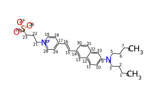 CCCCN(CCCC)c1ccc2cc(/C=C/c3cc[n+](CCCS(=O)(=O)[O-])cc3)ccc2c1